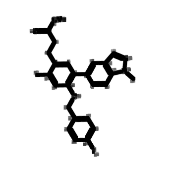 COC(=O)CCc1cc(-c2ccc3c(cnn3C)c2)c(OCc2ccc(F)cc2)cc1C